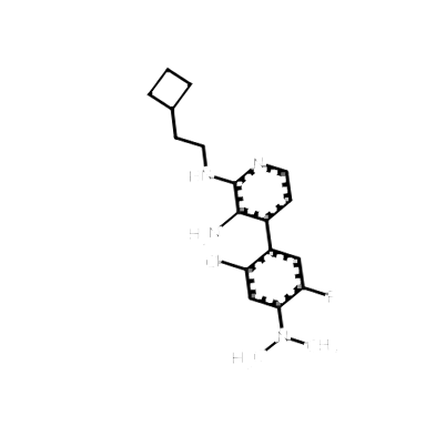 CN(C)c1cc(Cl)c(-c2ccnc(NCCC3CCC3)c2N)cc1F